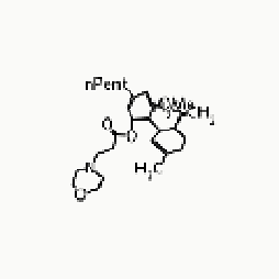 C=C(C)C1CCC(C)=CC1C1C(OC)=CC(CCCCC)=CC1OC(=O)CCN1CCOCC1